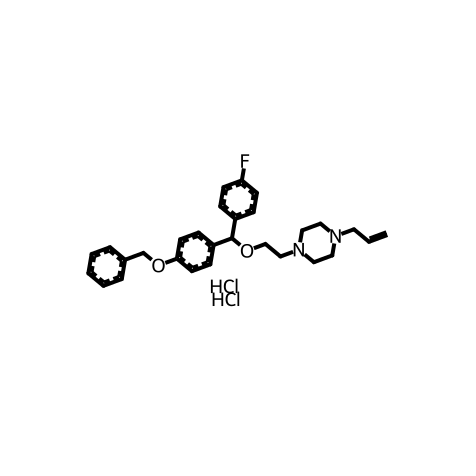 C=CCN1CCN(CCOC(c2ccc(F)cc2)c2ccc(OCc3ccccc3)cc2)CC1.Cl.Cl